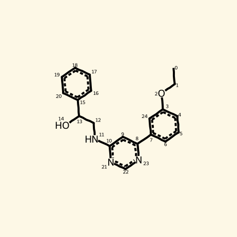 CCOc1cccc(-c2cc(NCC(O)c3ccccc3)ncn2)c1